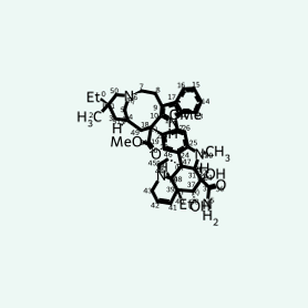 CC[C@]1(C)C[C@H]2C[N@](CCc3c([nH]c4ccccc34)[C@@](C(=O)OC)(c3cc4c(cc3OC)N(C)[C@H]3[C@@](O)(C(N)=O)[C@H](O)[C@]5(CC)C=CCN6CC[C@]43[C@@H]65)C2)C1